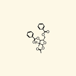 CC(=O)OC1O[C@H](COC(=O)c2ccccc2)C(OC(=O)c2ccccc2)C1(C)F